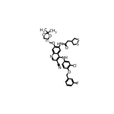 CC1(C)OC[C@@H](COc2cc3ncc(C#N)c(Nc4ccc(OCc5cccc(F)c5)c(Cl)c4)c3cc2NC(=O)CC2CSSC2)O1